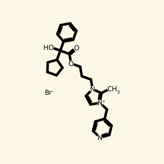 Cc1n(CCCOC(=O)C(O)(c2ccccc2)C2CCCC2)cc[n+]1Cc1ccncc1.[Br-]